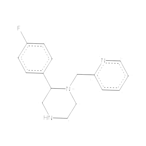 Fc1ccc(C2CNCCN2Cc2ccccn2)cc1